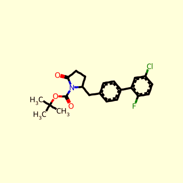 CC(C)(C)OC(=O)N1C(=O)CCC1Cc1ccc(-c2cc(Cl)ccc2F)cc1